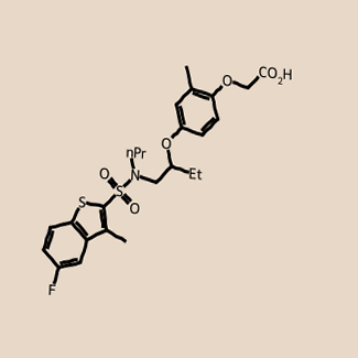 CCCN(CC(CC)Oc1ccc(OCC(=O)O)c(C)c1)S(=O)(=O)c1sc2ccc(F)cc2c1C